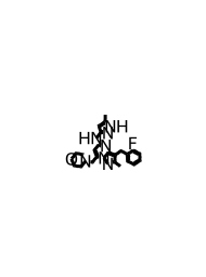 Cc1cc(Nc2cc(CN3CCOCC3)n3nc(C)c(Cc4ccccc4F)c3n2)n[nH]1